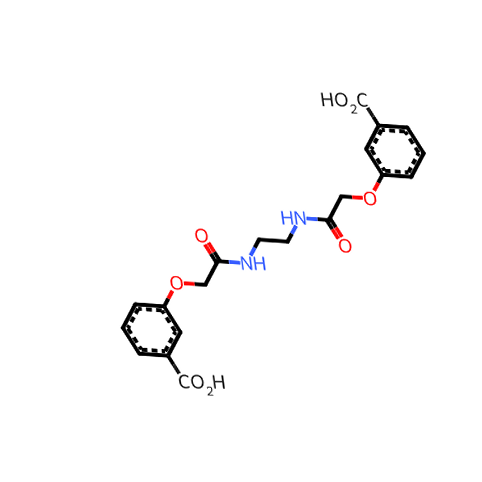 O=C(COc1cccc(C(=O)O)c1)NCCNC(=O)COc1cccc(C(=O)O)c1